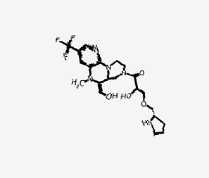 CN1/C(=C/O)C2CN(C(=O)C(O)COC[C@@H]3CCCN3)CCN2c2ncc(C(F)(F)F)cc21